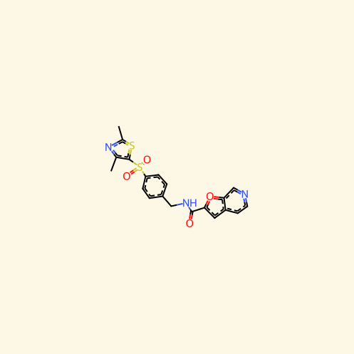 Cc1nc(C)c(S(=O)(=O)c2ccc(CNC(=O)c3cc4ccncc4o3)cc2)s1